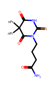 CCCC1(CCC)C(=O)NC(=S)N(CCCC(N)=O)C1=O